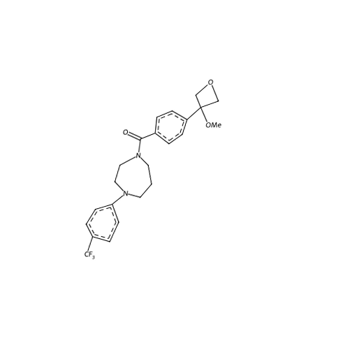 COC1(c2ccc(C(=O)N3CCCN(c4ccc(C(F)(F)F)cc4)CC3)cc2)COC1